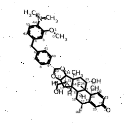 COc1cc(Cc2ccc([C@H]3O[C@@H]4C[C@H]5[C@@H]6C[C@H](F)C7=CC(=O)C=C[C@]7(C)[C@@]6(F)[C@@H](O)C[C@]5(C)[C@]4(C(=O)CO)O3)cc2)ccc1N(C)C